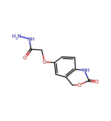 NNC(=O)COc1ccc2c(c1)COC(=O)N2